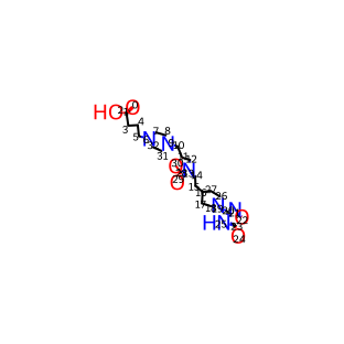 O=C(O)CCCN1CCN(CC2CN(CCC3CCN(c4noc(=O)[nH]4)CC3)C(=O)O2)CC1